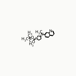 CN(c1ccc2cccnc2c1)[C@H]1CCN(C(=O)OC(C)(C)C)C1